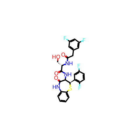 O=C(Cc1cc(F)cc(F)c1)N[C@@H](CO)C(=O)NC1C(=O)Nc2ccccc2S[C@@H]1c1cc(F)ccc1F